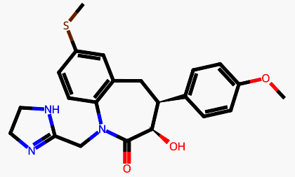 COc1ccc([C@@H]2Cc3cc(SC)ccc3N(CC3=NCCN3)C(=O)[C@@H]2O)cc1